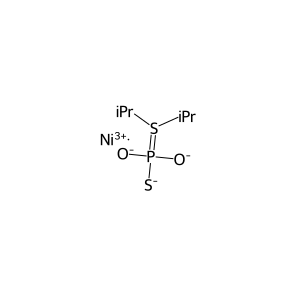 CC(C)S(C(C)C)=P([O-])([O-])[S-].[Ni+3]